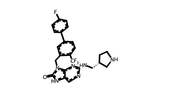 O=c1[nH]c2cnc(NC[C@@H]3CCNC3)nc2n1Cc1cc(-c2ccc(F)cc2)ccc1C(F)(F)F